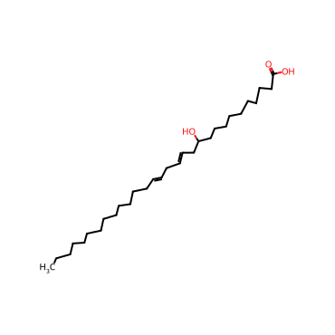 CCCCCCCCCCCCCC=CCC=CCC(O)CCCCCCCCCC(=O)O